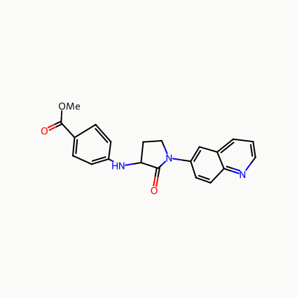 COC(=O)c1ccc(NC2CCN(c3ccc4ncccc4c3)C2=O)cc1